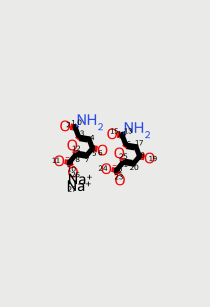 NC(=O)c1cc(=O)cc(C(=O)[O-])o1.NC(=O)c1cc(=O)cc(C(=O)[O-])o1.[Na+].[Na+]